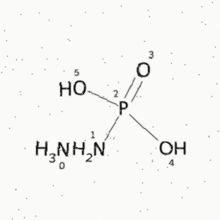 N.NP(=O)(O)O